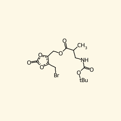 CC(CNC(=O)OC(C)(C)C)C(=O)OCc1oc(=O)oc1CBr